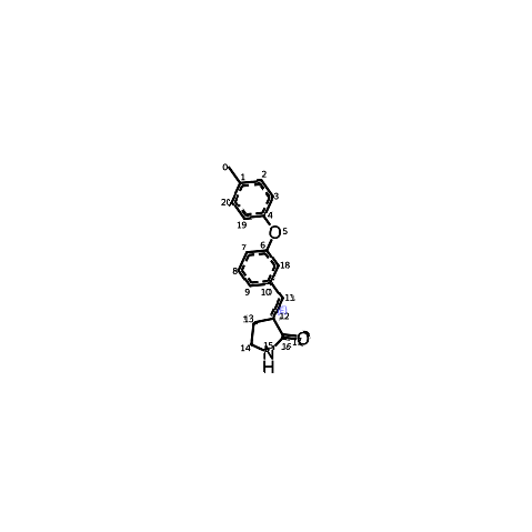 Cc1ccc(Oc2cccc(/C=C3\CCNC3=O)c2)cc1